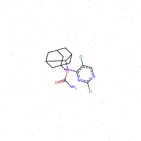 NC(=O)OC12CC3CC(C1)C(Nc1nc(Cl)ncc1Cl)C(C3)C2